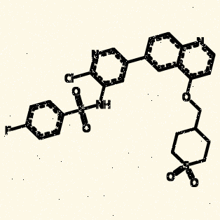 O=S1(=O)CCC(COc2ccnc3ccc(-c4cnc(Cl)c(NS(=O)(=O)c5ccc(F)cc5)c4)cc23)CC1